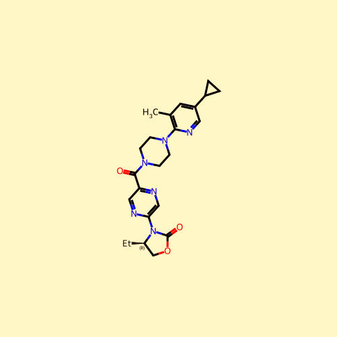 CC[C@@H]1COC(=O)N1c1cnc(C(=O)N2CCN(c3ncc(C4CC4)cc3C)CC2)cn1